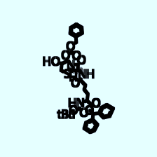 CC(C)(C)OC(=O)NC(CCCC(=O)N[C@@H]1C(=O)N2C(OC(=O)OCc3ccccc3)C(O)CS[C@@H]12)C(=O)OC(c1ccccc1)c1ccccc1